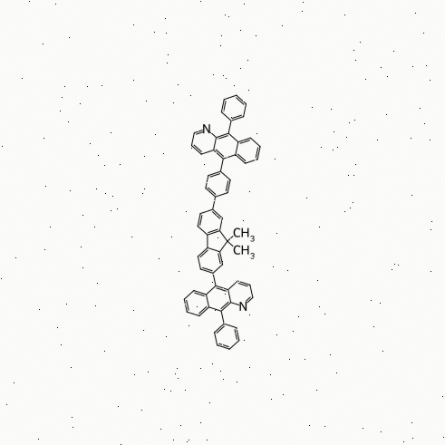 CC1(C)c2cc(-c3ccc(-c4c5ccccc5c(-c5ccccc5)c5ncccc45)cc3)ccc2-c2ccc(-c3c4ccccc4c(-c4ccccc4)c4ncccc34)cc21